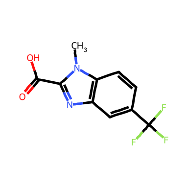 Cn1c(C(=O)O)nc2cc(C(F)(F)F)ccc21